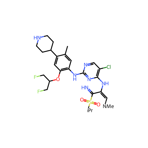 CN/C=C(/Nc1nc(Nc2cc(C)c(C3CCNCC3)cc2OC(CF)CF)ncc1Cl)C(=N)S(=O)(=O)C(C)C